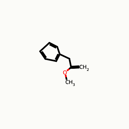 C=C(Cc1ccccc1)OC